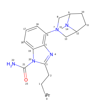 CC(C)CCc1nc2c(N3CC4CCC(C3)N4C)cccc2n1C(N)=O